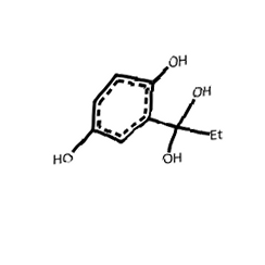 CCC(O)(O)c1cc(O)ccc1O